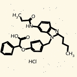 CCCCc1nc2ccc(NC(=O)CC)cc2n1Cc1ccc(OC(C(=O)O)c2ccccc2)cc1.Cl